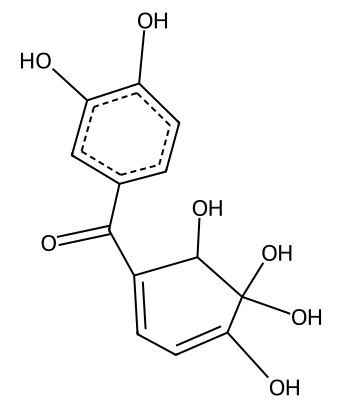 O=C(C1=CC=C(O)C(O)(O)C1O)c1ccc(O)c(O)c1